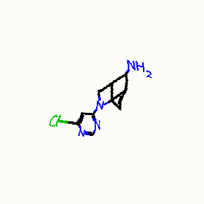 NC1C2=CC23C1CN3c1cc(Cl)ncn1